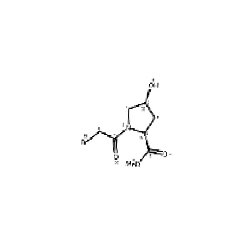 COC(=O)[C@@H]1C[C@H](O)CN1C(=O)CBr